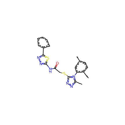 Cc1ccc(C)c(-n2c(C)nnc2SCC(=O)Nc2nnc(-c3ccccc3)s2)c1